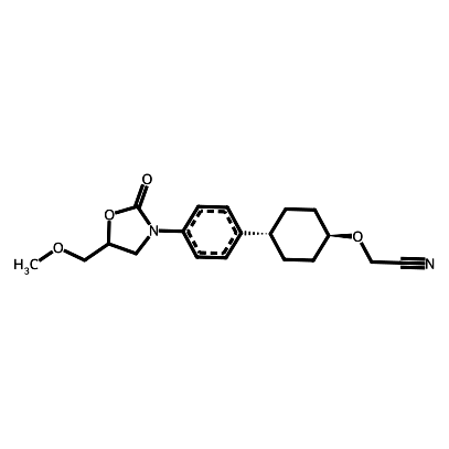 COCC1CN(c2ccc([C@H]3CC[C@H](OCC#N)CC3)cc2)C(=O)O1